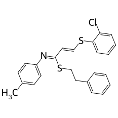 Cc1ccc(N=C(C=CSc2ccccc2Cl)SCCc2ccccc2)cc1